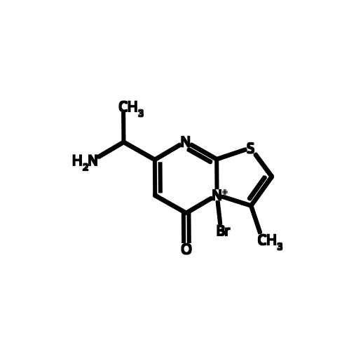 CC1=CSC2=NC(C(C)N)=CC(=O)[N+]12Br